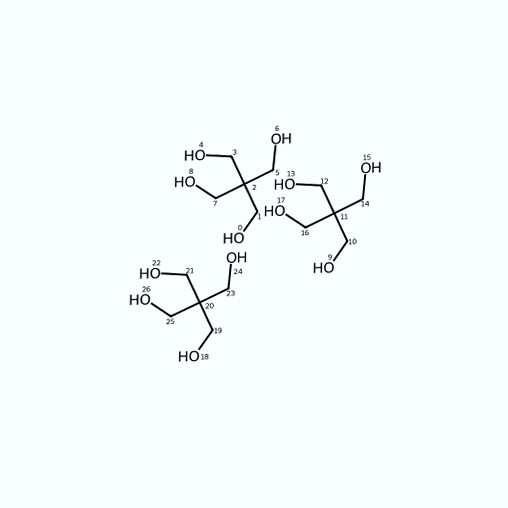 OCC(CO)(CO)CO.OCC(CO)(CO)CO.OCC(CO)(CO)CO